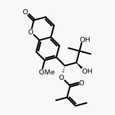 C/C=C(/C)C(=O)O[C@H](c1cc2ccc(=O)oc2cc1OC)[C@H](O)C(C)(C)O